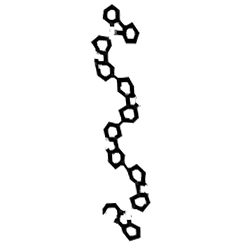 c1ccc2c(c1)c1ccccc1n2-c1ccc2sc3ccc(-c4ccc5oc6ccc(-c7ccc8oc9ccc(-c%10ccc%11sc%12ccc(-n%13c%14ccccc%14c%14ccccc%14%13)cc%12c%11c%10)cc9c8c7)cc6c5c4)cc3c2c1